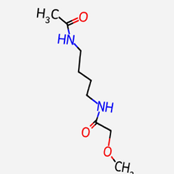 COCC(=O)NCCCCNC(C)=O